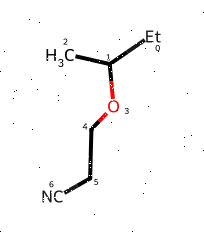 CCC(C)OCCC#N